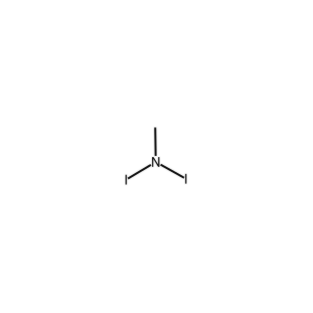 CN(I)I